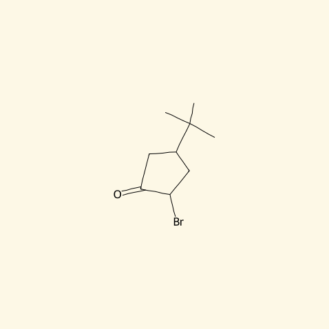 CC(C)(C)C1CC(=O)C(Br)C1